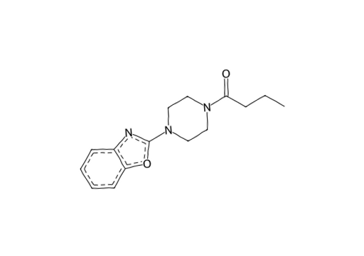 CCCC(=O)N1CCN(c2nc3ccccc3o2)CC1